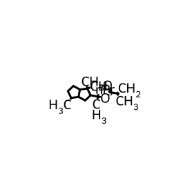 C=C(C)C(=O)OC(C)(CCC)C1CC2C(C)CCC2C1(C)C